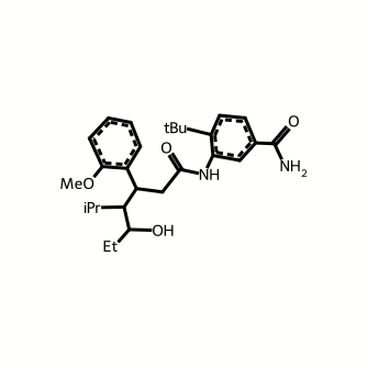 CCC(O)C(C(C)C)C(CC(=O)Nc1cc(C(N)=O)ccc1C(C)(C)C)c1ccccc1OC